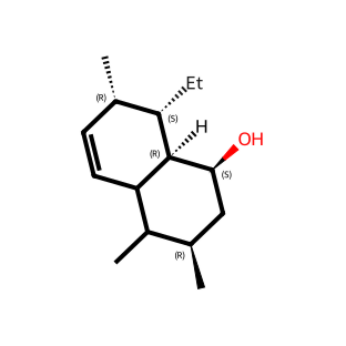 CC[C@@H]1[C@@H]2C(C=C[C@@H]1C)C(C)[C@H](C)C[C@@H]2O